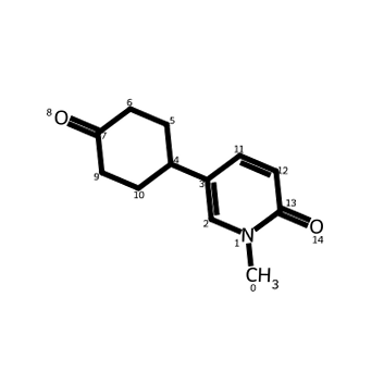 Cn1cc(C2CCC(=O)CC2)ccc1=O